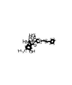 Cc1cc2[nH]c(C)c(C(=O)NC3CCN(CCc4ccccc4)CC3)c2cc1O.Cl.O